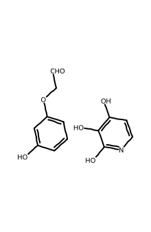 O=CCOc1cccc(O)c1.Oc1ccnc(O)c1O